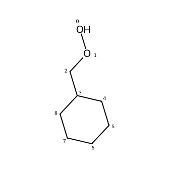 OOCC1CCCCC1